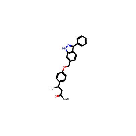 COC(=O)CC(C)c1ccc(OCc2ccc3c(-c4ccccc4)n[nH]c3c2)cc1